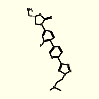 CN(C)CCn1nnc(-c2ccc(-c3ccc(N4C[C@H](CN)OC4=O)cc3F)cn2)n1